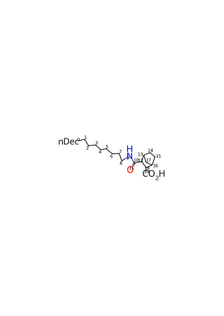 CCCCCCCCCCCCCCCCCCNC(=O)C1C2CCC(C2)C1C(=O)O